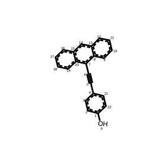 Oc1ccc(C#Cc2c3ccccc3cc3ccccc23)cc1